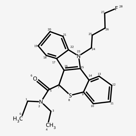 CCN(CC)C(=O)C1Sc2ccccc2-c2c1c1ccccc1n2CCCCF